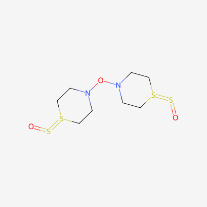 O=S=S1CCN(ON2CCS(=S=O)CC2)CC1